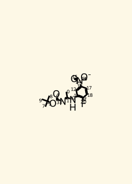 C/C(=N\C(=O)OC(C)(C)C)Nc1cc([N+](=O)[O-])ccc1F